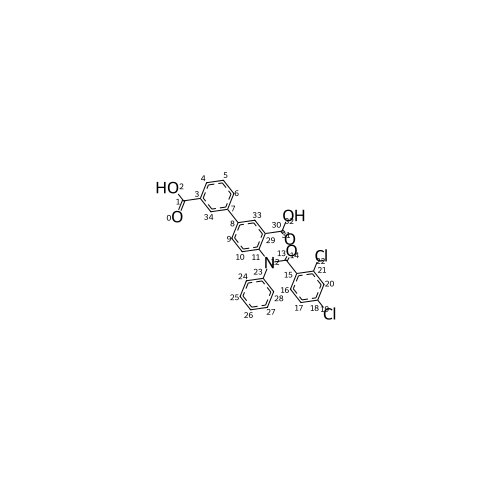 O=C(O)c1cccc(-c2ccc(N(C(=O)c3ccc(Cl)cc3Cl)c3ccccc3)c(C(=O)O)c2)c1